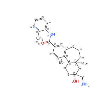 CC[C@@]12CC[C@](O)(CN)C[C@@H]1CCCc1cc(C(=O)Nc3cccnc3C)ccc12